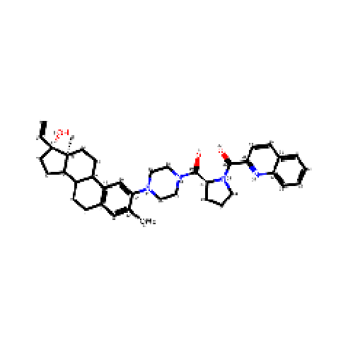 C=C[C@]1(O)CCC2C3CCc4cc(OC)c(N5CCN(C(=O)[C@@H]6CCCN6C(=O)c6ccc7ccccc7n6)CC5)cc4C3CC[C@@]21C